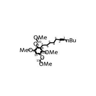 CCCCC#CCCCCCc1c(OC)c(OCOC)cc(OC)c1OCOC